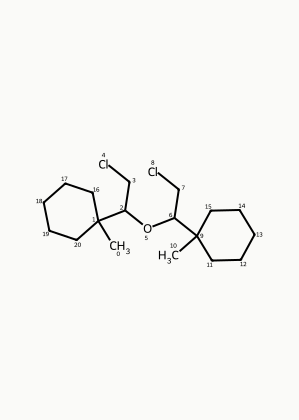 CC1(C(CCl)OC(CCl)C2(C)CCCCC2)CCCCC1